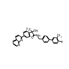 O=C(NCc1ccc(-c2ccc(F)c(C(F)(F)F)c2)cc1)C(O)(c1ccc(-c2ccc3cccnc3n2)cc1)C(F)(F)F